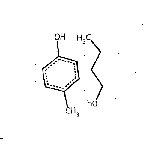 CCCCO.Cc1ccc(O)cc1